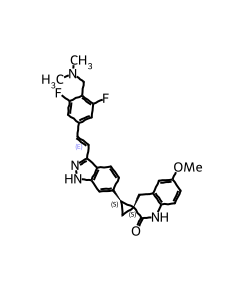 COc1ccc2c(c1)C[C@]1(C[C@H]1c1ccc3c(/C=C/c4cc(F)c(CN(C)C)c(F)c4)n[nH]c3c1)C(=O)N2